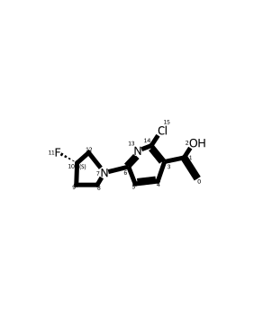 C=C(O)c1ccc(N2CC[C@H](F)C2)nc1Cl